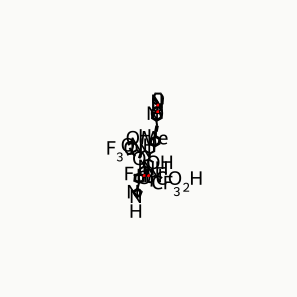 COC(=O)NC(C(=O)NC(Cc1ccc(C#Cc2ccc(N3CC4CCC(C3)N4C3COC3)nc2)cc1)C(O)CN(Cc1c(F)cc(-c2cc[nH]n2)cc1F)NC(=O)C(NC(=O)O)C(C)(C)C(F)(F)F)C(C)(C)C(F)(F)F